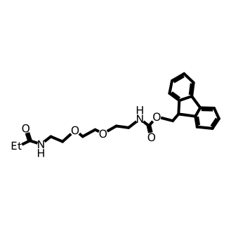 CCC(=O)NCCOCCOCCNC(=O)OCC1c2ccccc2-c2ccccc21